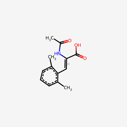 CC(=O)N/C(=C\c1c(C)cccc1C)C(=O)O